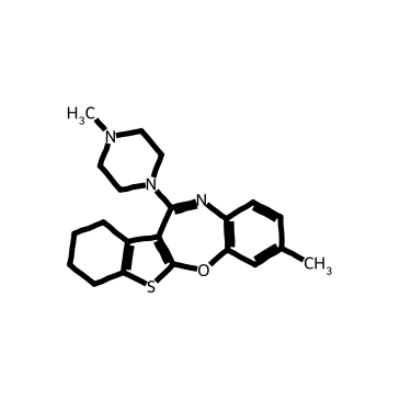 Cc1ccc2c(c1)Oc1sc3c(c1C(N1CCN(C)CC1)=N2)CCCC3